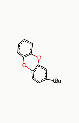 CC(C)(C)c1ccc2c(c1)Oc1ccccc1O2